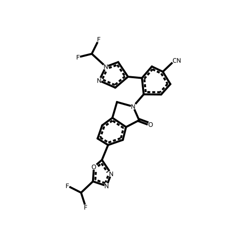 N#Cc1ccc(N2Cc3ccc(-c4nnc(C(F)F)o4)cc3C2=O)c(-c2cnn(C(F)F)c2)c1